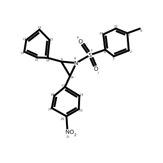 Cc1ccc(S(=O)(=O)N2C(c3ccccc3)C2c2ccc([N+](=O)[O-])cc2)cc1